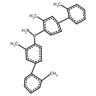 Cc1ccccc1-c1ccc(N(N)c2ccc(-c3ccccc3C)cc2C)c(C)c1